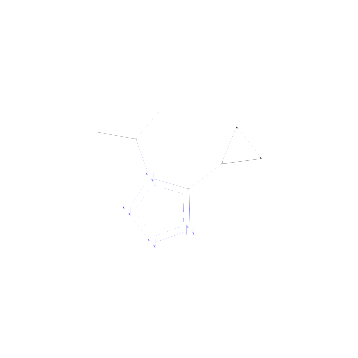 CC(C)n1nnnc1C1CC1